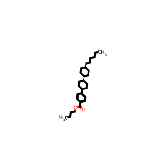 CCCCCC[C@H]1CC[C@H](C2CCC(c3ccc(C(=O)OCCCC)cc3)CC2)CC1